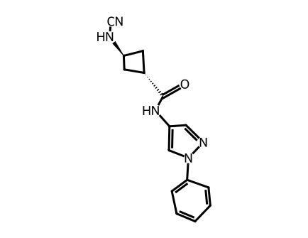 N#CN[C@H]1C[C@H](C(=O)Nc2cnn(-c3ccccc3)c2)C1